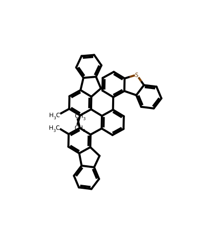 Cc1cc2c(c(-c3cccc(-c4cccc5sc6ccccc6c45)c3-c3c(C)c(C)cc4c3Cc3ccccc3-4)c1C)Cc1ccccc1-2